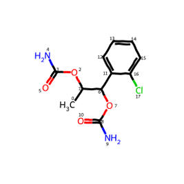 CC(OC(N)=O)C(OC(N)=O)c1ccccc1Cl